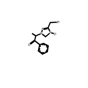 CC(C)CC1=NN(C(C)C(=O)c2ccccc2)CN1Cl